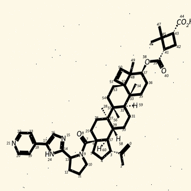 C=C(C)[C@@H]1CC[C@]2(C(=O)N3CCCC3c3ncc(-c4ccncc4)[nH]3)CC[C@]3(C)[C@H](CC[C@@H]4[C@@]5(C)CC[C@H](OC(=O)[C@H]6C[C@@H](C(=O)O)C6(C)C)C6(C)C=C[C@]65CC[C@]43C)[C@@H]12